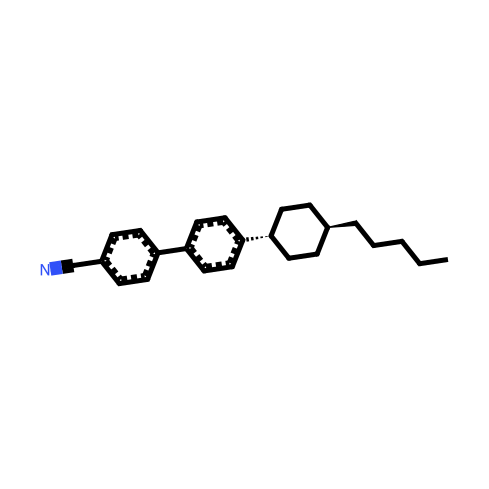 CCCCC[C@H]1CC[C@H](c2ccc(-c3ccc(C#N)cc3)cc2)CC1